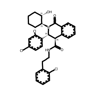 O=C(NCCc1ccccc1Cl)[C@@H]1c2ccccc2C(=O)N([C@H]2CCCC[C@@H]2O)[C@H]1c1ccc(Cl)cc1Cl